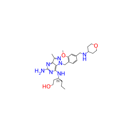 CCC[C@@H](CCO)Nc1nc(N)nc2c(C)nn(Cc3ccc(CNC4CCOCC4)cc3OC)c12